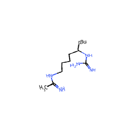 CC(=N)NCCCCC(NC(=N)N)C(C)(C)C